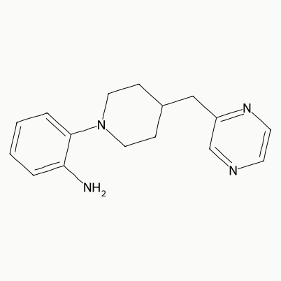 Nc1ccccc1N1CCC(Cc2cnccn2)CC1